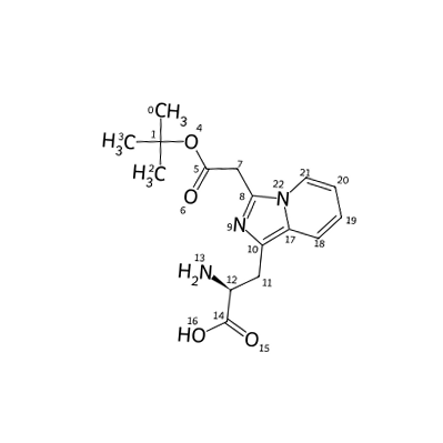 CC(C)(C)OC(=O)Cc1nc(C[C@H](N)C(=O)O)c2ccccn12